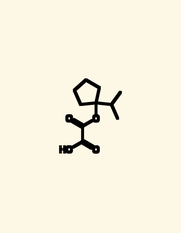 CC(C)C1(OC(=O)C(=O)O)CCCC1